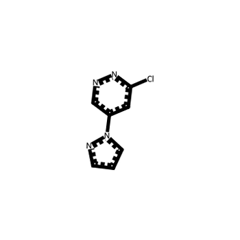 Clc1cc(-n2cccn2)cnn1